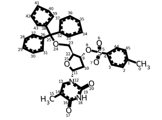 Cc1ccc(S(=O)(=O)O[C@@H]2C[C@H](n3cc(C)c(=O)[nH]c3=O)O[C@H]2COC(c2ccccc2)(c2ccccc2)c2ccccc2)cc1